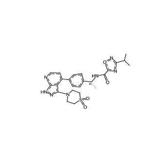 CC(C)c1noc(C(=O)N[C@H](C)c2ccc(-c3ccnc4[nH]nc(N5CCS(=O)(=O)CC5)c34)cc2)n1